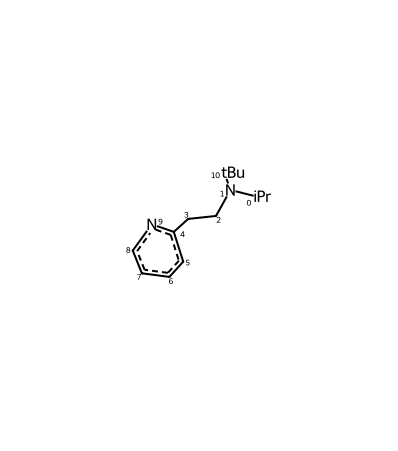 CC(C)N(CCc1ccccn1)C(C)(C)C